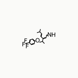 CC(C)/C=C/C(=C\C=N)C(C)COc1ccc(C(F)(F)F)cc1